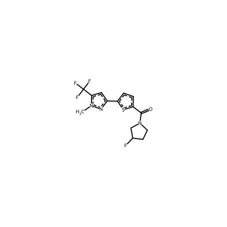 Cn1nc(-c2ccc(C(=O)N3CCC(F)C3)s2)cc1C(F)(F)F